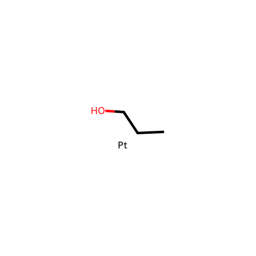 CCCO.[Pt]